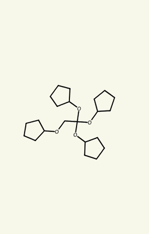 C1CCC(OCC(OC2CCCC2)(OC2CCCC2)OC2CCCC2)C1